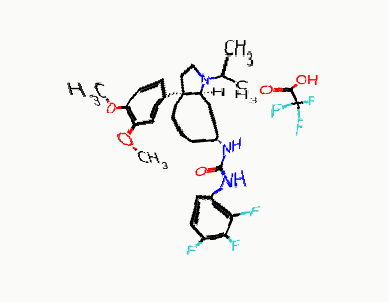 COc1ccc([C@@]23CC[C@@H](NC(=O)Nc4ccc(F)c(F)c4F)C[C@@H]2N(C(C)C)CC3)cc1OC.O=C(O)C(F)(F)F